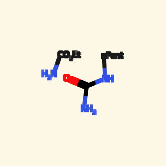 CCCCCNC(N)=O.CCOC(N)=O